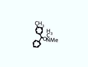 CNC.Cc1ccc(C(=O)c2ccccc2)cc1